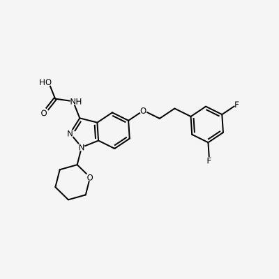 O=C(O)Nc1nn(C2CCCCO2)c2ccc(OCCc3cc(F)cc(F)c3)cc12